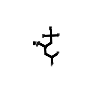 CN(CC(F)F)CC(F)(F)F